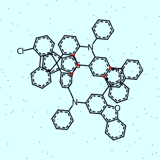 Clc1cccc2c1-c1ccccc1C21c2ccc(N(c3ccccc3)c3cc(-c4ccc5ccccc5c4)c4oc5ccccc5c4c3)cc2Sc2c(N(c3ccccc3)c3cc4oc5ccccc5c4cc3-c3cc4ccccc4s3)cccc21